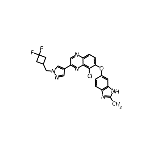 Cc1nc2ccc(Oc3ccc4ncc(-c5cnn(CC6CC(F)(F)C6)c5)nc4c3Cl)cc2[nH]1